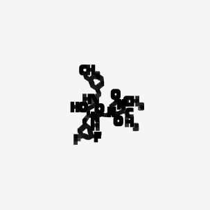 CCc1cccc(CNC[C@@H](O)[C@H](Cc2cc(F)cc(F)c2)NC(=O)CN2CC(=O)N(C)[C@@H](C)C2=O)c1